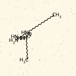 CCCCCCCCCCCCCCCCCC(=O)N[C@H](CCCNC(=N)N)C(=O)NCCCCCCCCCCCC